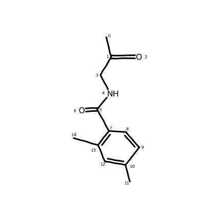 CC(=O)CNC(=O)c1ccc(C)cc1C